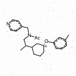 CC(=O)N(Cc1ccncc1)CC(C)C1CCC[C@@H](Oc2cccc(C)c2)C1